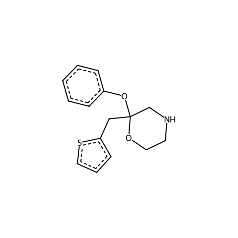 c1ccc(OC2(Cc3cccs3)CNCCO2)cc1